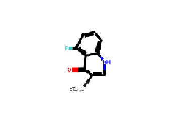 CCOC(=O)c1c[nH]c2cccc(F)c2c1=O